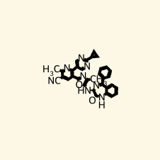 Cc1nc(-c2cnc(C3CC3)nc2)c(-c2nc(C)c(N[C@H]3N=C(c4ccccc4)c4ccccc4NC3=O)o2)cc1C#N